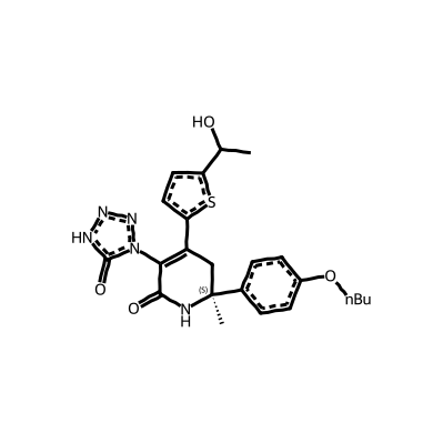 CCCCOc1ccc([C@]2(C)CC(c3ccc(C(C)O)s3)=C(n3nn[nH]c3=O)C(=O)N2)cc1